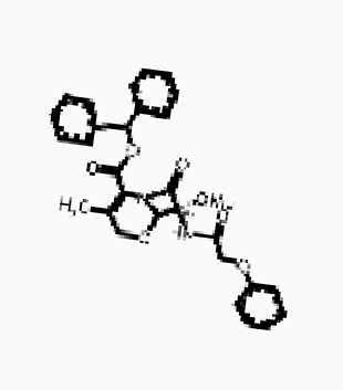 CO[C@@]1(NC(=O)COc2ccccc2)C(=O)N2C(C(=O)OC(c3ccccc3)c3ccccc3)=C(C)COC21